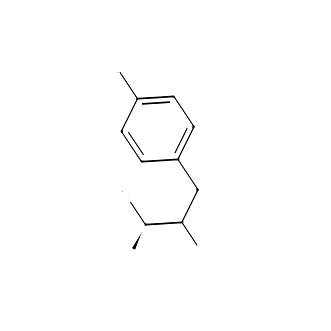 N[C@H](C(=O)O)C(Cc1ccc(Cl)cc1)C(=O)O